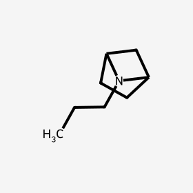 CCCN1C2CCC1C2